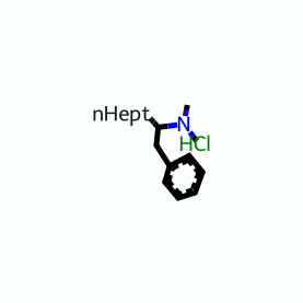 CCCCCCCC(Cc1ccccc1)N(C)C.Cl